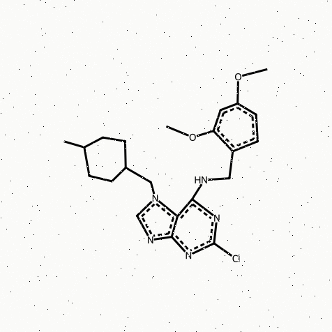 COc1ccc(CNc2nc(Cl)nc3ncn(CC4CCC(C)CC4)c23)c(OC)c1